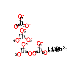 [La+3].[La+3].[O]=[Ti]([O-])[O-].[O]=[Ti]([O-])[O-].[O]=[Ti]([O-])[O-].[O]=[Ti]([O-])[O-].[Pb+2]